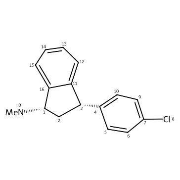 CN[C@H]1C[C@@H](c2ccc(Cl)cc2)c2ccccc21